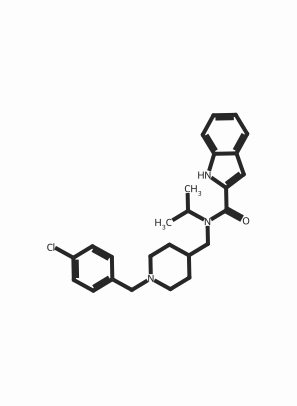 CC(C)N(CC1CCN(Cc2ccc(Cl)cc2)CC1)C(=O)c1cc2ccccc2[nH]1